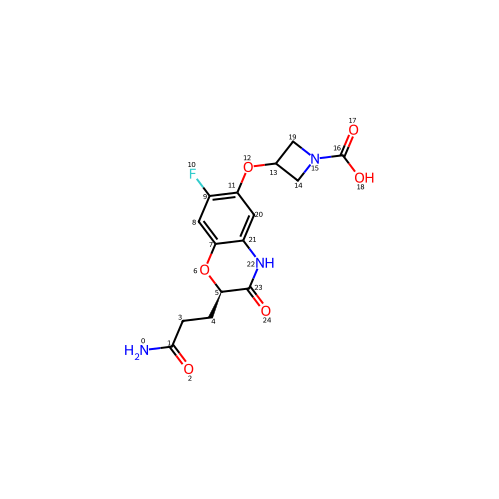 NC(=O)CC[C@H]1Oc2cc(F)c(OC3CN(C(=O)O)C3)cc2NC1=O